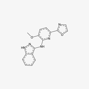 COc1ccc(-c2ncco2)nc1Nc1n[nH]c2ccccc12